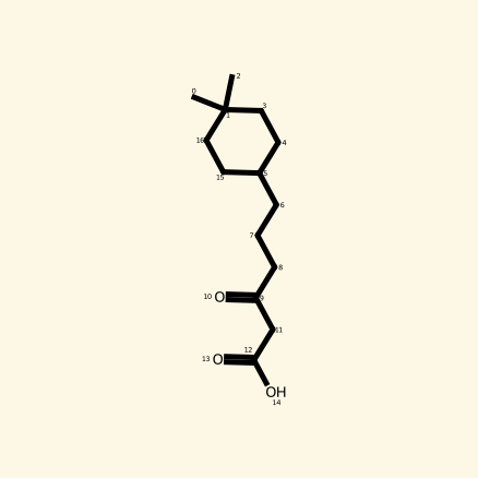 CC1(C)CCC(CCCC(=O)CC(=O)O)CC1